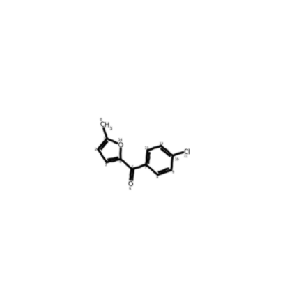 Cc1ccc(C(=O)c2ccc(Cl)cc2)o1